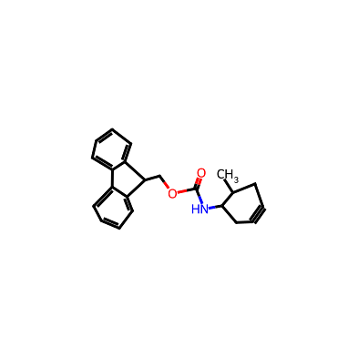 CC1CC#CCC1NC(=O)OCC1c2ccccc2-c2ccccc21